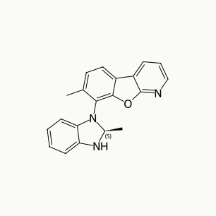 Cc1ccc2c(oc3ncccc32)c1N1c2ccccc2N[C@@H]1C